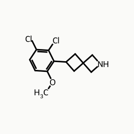 COc1ccc(Cl)c(Cl)c1C1CC2(CNC2)C1